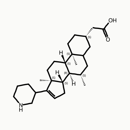 C[C@H]1CC2C[C@@H](CC(=O)O)CC[C@]2(C)[C@H]2CC[C@]3(C)C(C4CCCNC4)=CC[C@H]3[C@H]12